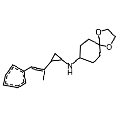 C/C(=C\c1ccccc1)C1CC1NC1CCC2(CC1)OCCO2